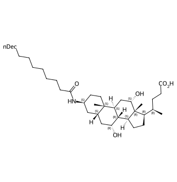 CCCCCCCCCCCCCCCCCC(=O)N[C@H]1CC[C@@]2(C)[C@@H](C1)C[C@@H](O)[C@@H]1[C@@H]2C[C@H](O)[C@]2(C)[C@@H]([C@H](C)CCC(=O)O)CC[C@@H]12